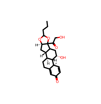 CCCC1O[C@@H]2C[C@@H]3C(C[C@H](O)[C@H]4[C@H]3CCC3=CC(=O)C=C[C@@]34C)C2(C(=O)CO)O1